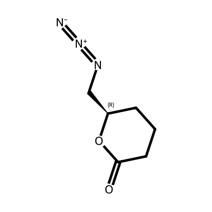 [N-]=[N+]=NC[C@H]1CCCC(=O)O1